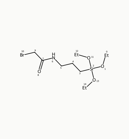 CCO[Si](CCCNC(=O)CBr)(OCC)OCC